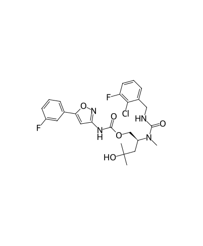 CN(C(=O)NCc1cccc(F)c1Cl)[C@H](COC(=O)Nc1cc(-c2cccc(F)c2)on1)CC(C)(C)O